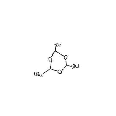 CC(C)(C)C1OC(C(C)(C)C)OC(C(C)(C)C)O1